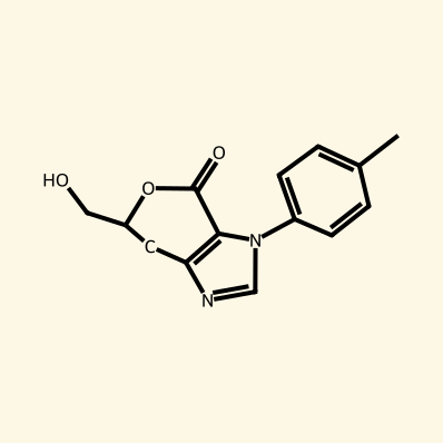 Cc1ccc(-n2cnc3c2C(=O)OC(CO)C3)cc1